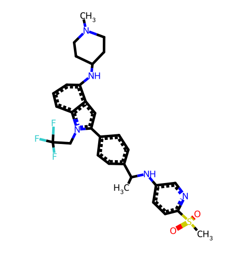 CC(Nc1ccc(S(C)(=O)=O)nc1)c1ccc(-c2cc3c(NC4CCN(C)CC4)cccc3n2CC(F)(F)F)cc1